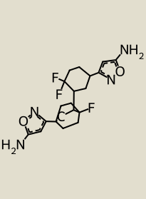 Nc1cc(C2CCC(F)(F)C(C3CC4(c5cc(N)on5)CCC3(F)CC4)C2)no1